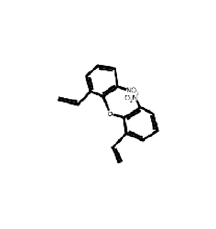 C=Cc1cccc([N+](=O)[O-])c1Oc1c(C=C)cccc1[N+](=O)[O-]